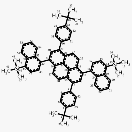 CC(C)(C)c1ccc(-c2cc(-c3ccc([Si](C)(C)C)c4ccccc34)c3ccc4c(-c5ccc(C(C)(C)C)cc5)cc(-c5ccc([Si](C)(C)C)c6ccccc56)c5ccc2c3c45)cc1